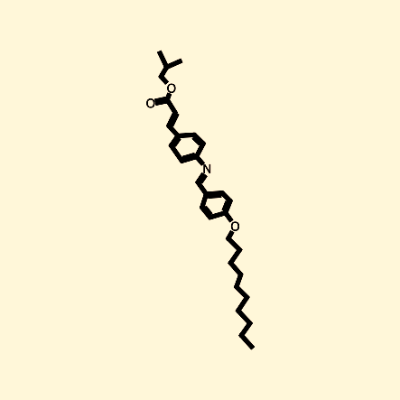 CCCCCCCCCCOc1ccc(C=Nc2ccc(C=CC(=O)OCC(C)C)cc2)cc1